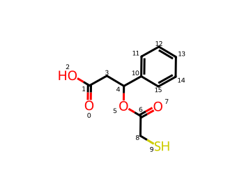 O=C(O)CC(OC(=O)CS)c1ccccc1